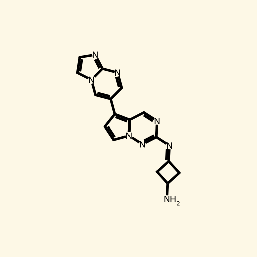 NC1CC(=Nc2ncc3c(-c4cnc5nccn5c4)ccn3n2)C1